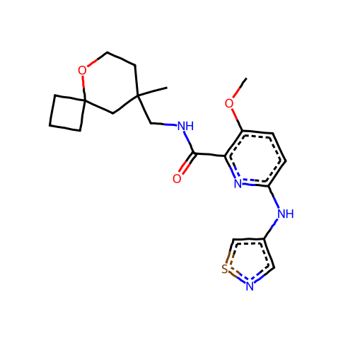 COc1ccc(Nc2cnsc2)nc1C(=O)NCC1(C)CCOC2(CCC2)C1